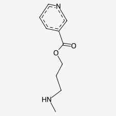 CNCCCOC(=O)c1cccnc1